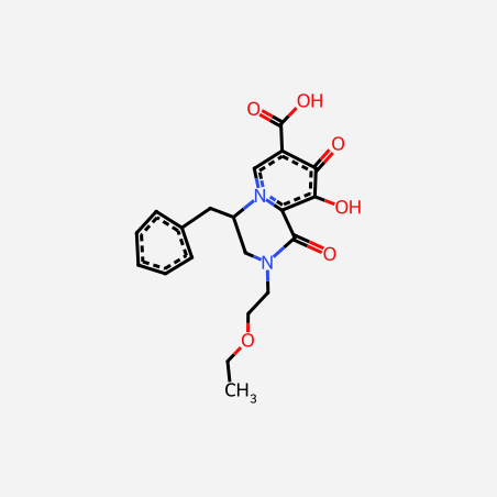 CCOCCN1CC(Cc2ccccc2)n2cc(C(=O)O)c(=O)c(O)c2C1=O